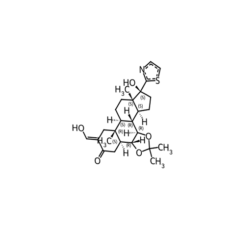 CC1(C)O[C@H]2[C@H](O1)[C@H]1CC(=O)C(=CO)C[C@]1(C)[C@H]1CC[C@@]3(C)[C@@H](CC[C@@]3(O)c3nccs3)[C@H]21